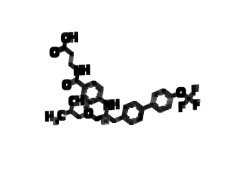 CC(C)COC[C@H](Cc1ccc(-c2ccc(OC(F)(F)F)cc2)cc1)Nc1ccc(C(=O)NCCC(=O)O)cc1